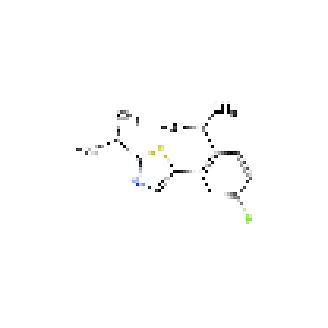 CC(C)c1ncc(-c2cc(F)ccc2C(C)C)s1